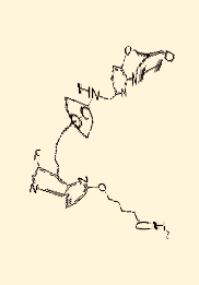 CCCCCOc1ccc2ncc(F)c(CCC34CCC(NCc5ccc6c(n5)NC(=O)CO6)(CC3)CO4)c2n1